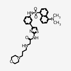 CN(C)c1cccc2c(S(=O)(=O)Nc3cccc(-c4csc(NC(=O)CNCCCN5CCOCC5)n4)c3)cccc12